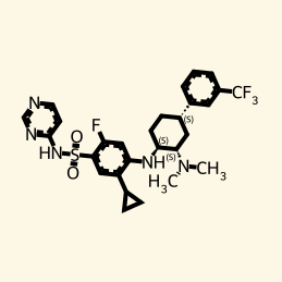 CN(C)[C@H]1C[C@@H](c2cccc(C(F)(F)F)c2)CC[C@@H]1Nc1cc(F)c(S(=O)(=O)Nc2ccncn2)cc1C1CC1